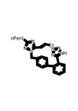 CC/C=C/c1nc(CCCCC)nn1Cc1ccc(-c2ccccc2-c2nnn[nH]2)cc1